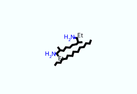 CCC(N)C(C)CCCCCC(C)C(N)CC.CCCCCCCCCCCCCC